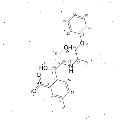 CC1=CC(=S(=O)=O)C([C@H](O)[C@H](CO)NC(C)COc2ccccc2)C=C1